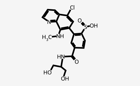 CNc1c(-c2cc(C(=O)NC(CO)CO)ccc2S(=O)O)cc(Cl)c2cccnc12